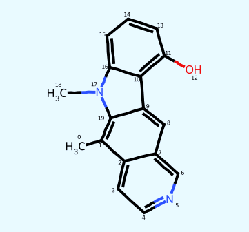 Cc1c2ccncc2cc2c3c(O)cccc3n(C)c12